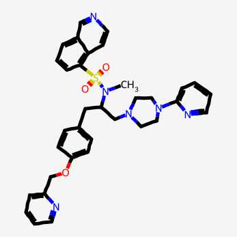 CN(C(Cc1ccc(OCc2ccccn2)cc1)CN1CCN(c2ccccn2)CC1)S(=O)(=O)c1cccc2cnccc12